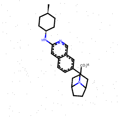 C[C@H]1CC[C@@H](Nc2cc3ccc(CN4C5CCC4CC(C(=O)O)C5)cc3cn2)CC1